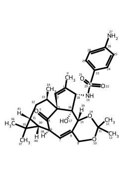 CC1=C[C@]23C(=O)[C@@H](C=C4COC(C)(C)O[C@H]4[C@]2(O)[C@H]1NS(=O)(=O)c1ccc(N)cc1)[C@H]1[C@@H](C[C@H]3C)C1(C)C